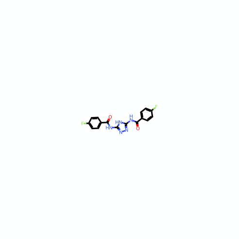 O=C(Nc1nnc(NC(=O)c2ccc(F)cc2)[nH]1)c1ccc(F)cc1